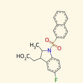 CC1C(CC(=O)O)c2cc(F)ccc2N1S(=O)(=O)c1ccc2ccccc2c1